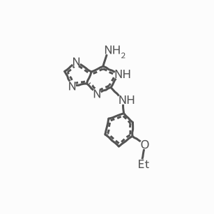 CCOc1cccc(Nc2nc3ncnc-3c(N)[nH]2)c1